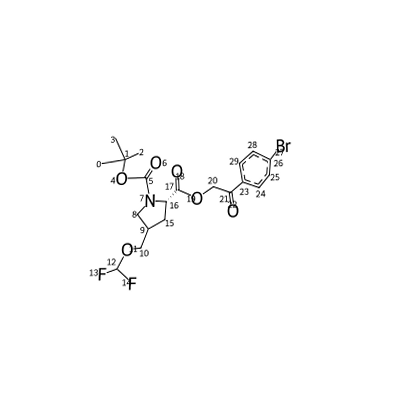 CC(C)(C)OC(=O)N1CC(COC(F)F)C[C@H]1C(=O)OCC(=O)c1ccc(Br)cc1